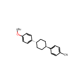 CCCCOc1ccc([C@H]2CC[C@H](c3ccc(C#N)cc3)CC2)cc1